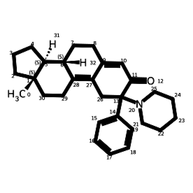 C[C@@]12CCC[C@H]1[C@@H]1CCC3=CC(=O)C(c4ccccc4)(N4CCCCC4)CC3=C1CC2